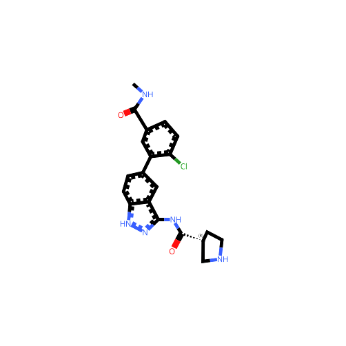 CNC(=O)c1ccc(Cl)c(-c2ccc3[nH]nc(NC(=O)[C@@H]4CCNC4)c3c2)c1